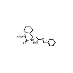 CC(C)(C)OC(=O)NC(CC(O)OCc1ccccc1)C1CCCCC1